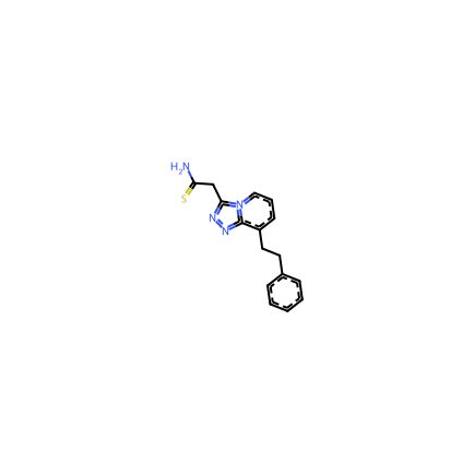 NC(=S)Cc1nnc2c(CCc3ccccc3)cccn12